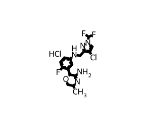 CC1COC(c2cc(NCc3nn(C(F)F)cc3Cl)ccc2F)C(N)=N1.Cl